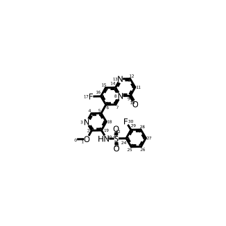 COc1ncc(-c2cn3c(=O)ccnc3cc2F)cc1NS(=O)(=O)c1ccccc1F